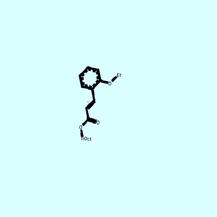 CCCCCCCCOC(=O)/C=C/c1ccccc1OCC